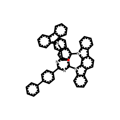 c1ccc(-c2ccc(-c3nc(-c4ccccc4)nc(-n4c5ccccc5c5ccc6c7ccccc7n(-c7cccc(-n8c9ccccc9c9ccccc98)c7)c6c54)n3)cc2)cc1